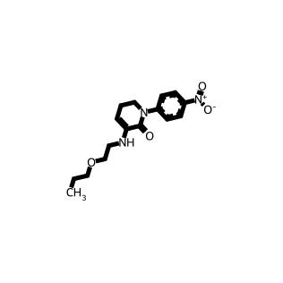 CCCOCCNC1=CCCN(c2ccc([N+](=O)[O-])cc2)C1=O